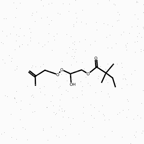 C=C(C)COOC(O)COC(=O)C(C)(C)CC